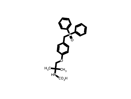 CC(C)(COc1ccc(CP(=O)(c2ccccc2)c2ccccc2)cc1)NC(=O)O